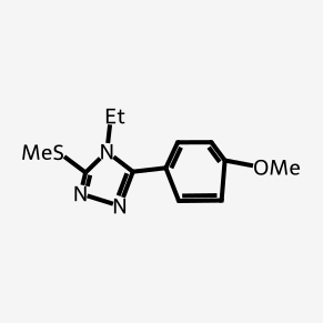 [CH2]Sc1nnc(-c2ccc(OC)cc2)n1CC